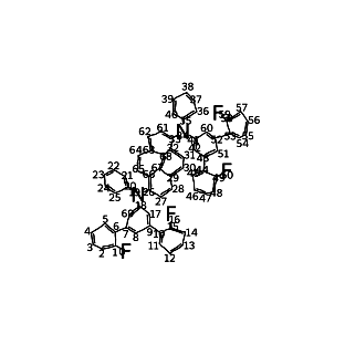 Fc1ccccc1-c1cc(-c2ccccc2F)cc(N(c2ccccc2)c2ccc3ccc4c(N(c5ccccc5)c5cc(-c6ccccc6F)cc(-c6ccccc6F)c5)ccc5ccc2c3c54)c1